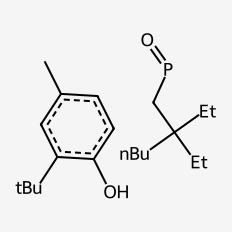 CCCCC(CC)(CC)CP=O.Cc1ccc(O)c(C(C)(C)C)c1